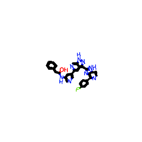 OC(Cc1ccccc1)Nc1cncc(-c2cc3c(-c4nc5c(-c6ccc(F)cc6)nccc5[nH]4)n[nH]c3cn2)c1